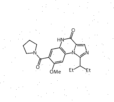 CCC(CC)c1ncc2c(=O)[nH]c3cc(C(=O)N4CCCC4)c(OC)cc3n12